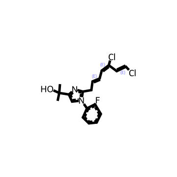 CC(C)(O)c1cn(-c2ccccc2F)c(C/C=C/C=C(Cl)\C=C\Cl)n1